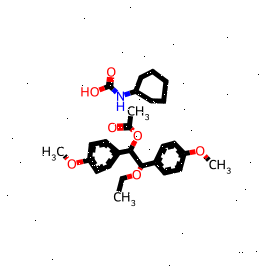 CCOC(c1ccc(OC)cc1)C(OC(C)=O)c1ccc(OC)cc1.O=C(O)NC1CCCCC1